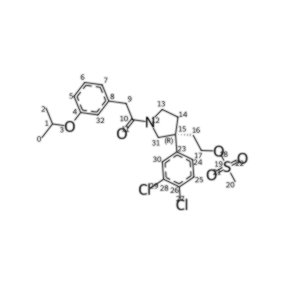 CC(C)Oc1cccc(CC(=O)N2CC[C@@](CCOS(C)(=O)=O)(c3ccc(Cl)c(Cl)c3)C2)c1